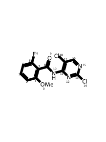 COc1cccc(F)c1C(=O)Nc1nc(Cl)ncc1Cl